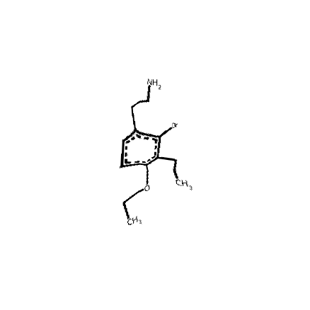 CCOc1ccc(CCN)c(Br)c1CC